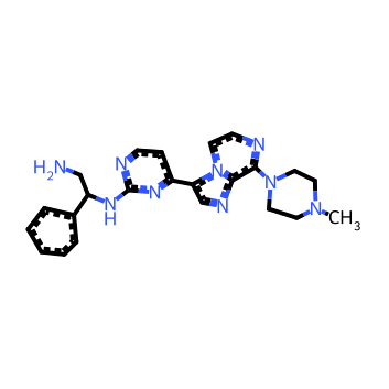 CN1CCN(c2nccn3c(-c4ccnc(NC(CN)c5ccccc5)n4)cnc23)CC1